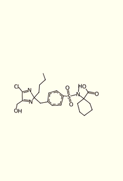 CCCCC1(Cc2ccc(S(=O)(=O)N(C)C3(C(=O)O)CCCCC3)cc2)N=C(Cl)C(CO)=N1